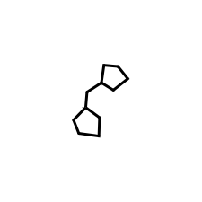 C1CC[C](C[C]2CCCC2)C1